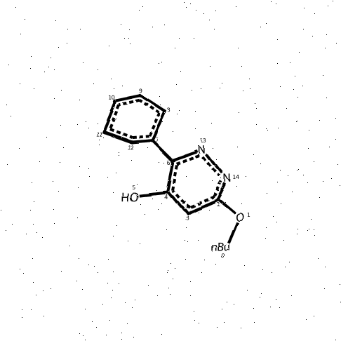 CCCCOc1cc(O)c(-c2ccccc2)nn1